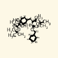 CC(C)(C)OC(=O)[C@H](CC1C=CC(O)(C(C)(C)C(=O)OC(C)(C)C)C=C1)NC(=O)OCc1ccccc1